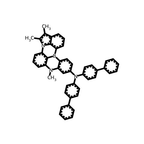 Cc1c(C)n2c3c(cccc13)B1c3ccc(N(c4ccc(-c5ccccc5)cc4)c4ccc(-c5ccccc5)cc4)cc3N(C)c3cccc-2c31